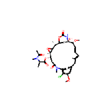 COc1cc2cc(c1Cl)N(C)C(=O)C[C@H](OC(=O)C(C)N(C)C(C)=O)[C@@]1(C)OC1[C@H](C)C1C[C@@](O)(NC(=O)O1)[C@H](OC)/C=C/C=C(\C)C2